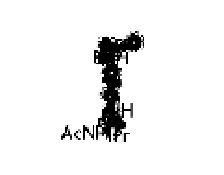 CC(=O)N[C@H](C(=O)N1CCC[C@H]1c1ncc(-c2ccc(-c3nc4ccc(-c5cnc([C@@H]6CCCN6C(=O)OCc6ccccc6)[nH]5)cc4s3)cc2)[nH]1)C(C)C